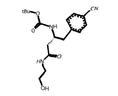 CC(C)(C)OC(=O)N[C@@H](CC(=O)NCCO)Cc1ccc(C#N)cc1